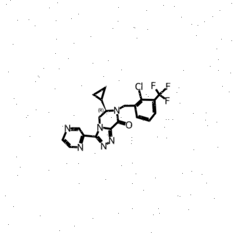 O=C1c2nnc(-c3cnccn3)n2C[C@@H](C2CC2)N1Cc1cccc(C(F)(F)F)c1Cl